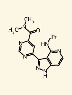 CC(C)Nc1nccc2[nH]nc(-c3cc(C(=O)N(C)C)ncn3)c12